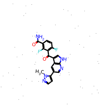 Cn1nccc1-c1cnc2[nH]cc(C(=O)c3c(F)ccc(C(N)=O)c3F)c2c1